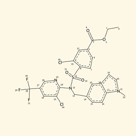 CCOC(=O)c1ccc(S(=O)(=O)N(Cc2ccc3c(ccn3C)c2)c2ncc(C(F)(F)F)cc2Cl)c(Cl)c1